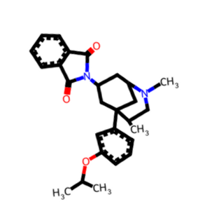 CC(C)Oc1cccc(C23CC(CC(N4C(=O)c5ccccc5C4=O)C2)N(C)CC3C)c1